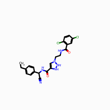 CCc1ccc(C(C#N)NC(=O)C2=CN(CCNC(=O)c3cc(Cl)ccc3Cl)NN2)cc1